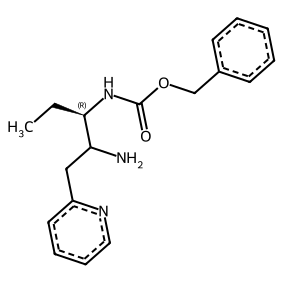 CC[C@@H](NC(=O)OCc1ccccc1)C(N)Cc1ccccn1